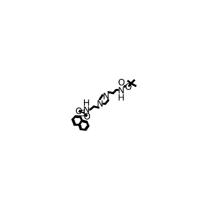 CC(C)(C)OC(=O)NCCCN1CCN(CCCNS(=O)(=O)c2cccc3ccccc23)CC1